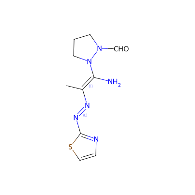 CC(/N=N/c1nccs1)=C(/N)N1CCCN1C=O